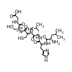 CC(C)C[C@H](NC(=O)[C@H](Cc1c[nH]cn1)NC(=O)[C@@H](N)CC(C)C)C(=O)N[C@@H](CS)C(=O)N[C@@H](CO)C(=O)NCC(=O)O